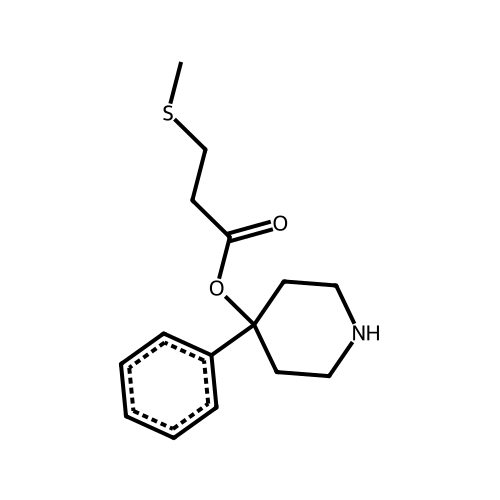 CSCCC(=O)OC1(c2ccccc2)CCNCC1